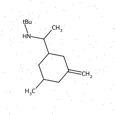 C=C1CC(C)CC(C(C)NC(C)(C)C)C1